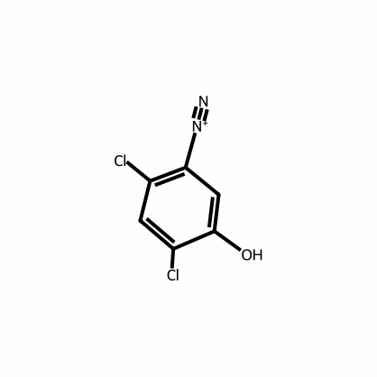 N#[N+]c1cc(O)c(Cl)cc1Cl